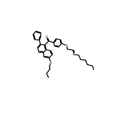 CCCCCCN=CCOc1ccc(C(=O)c2c(-c3ccccc3)ccc3cc(OCCCC)ccc23)cc1